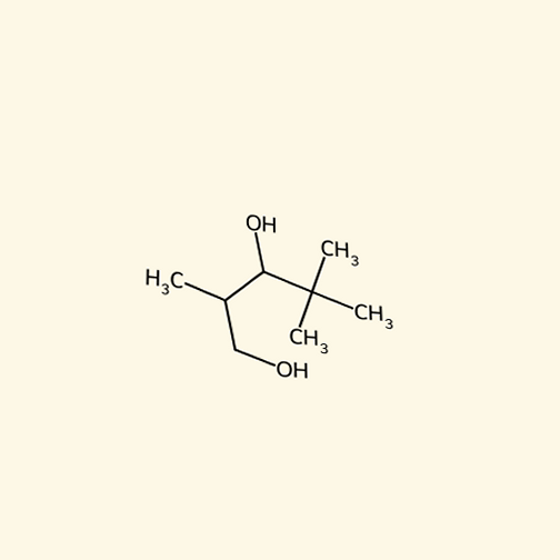 CC(CO)C(O)C(C)(C)C